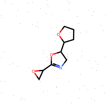 C1COC(C2CN=C(C3CO3)O2)C1